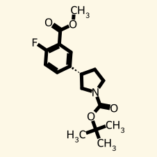 COC(=O)c1cc([C@@H]2CCN(C(=O)OC(C)(C)C)C2)ccc1F